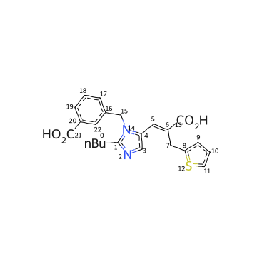 CCCCc1ncc(C=C(Cc2cccs2)C(=O)O)n1Cc1cccc(C(=O)O)c1